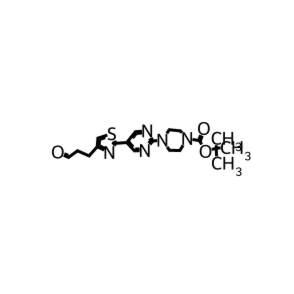 CC(C)(C)OC(=O)N1CCN(c2ncc(-c3nc(CCC=O)cs3)cn2)CC1